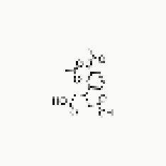 CC(=O)Oc1cccc(C(CC(=O)O)CC(=O)O)c1OC(C)=O